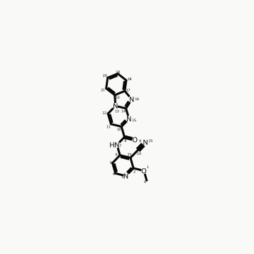 COc1nccc(NC(=O)c2ccn3c(n2)nc2ccccc23)c1C#N